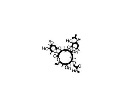 CC[C@H]1OC(=O)[C@H](C)[C@@H](O[C@H]2C[C@@](C)(OC)[C@@H](O)[C@H](C)O2)[C@H](C)[C@@H](O[C@@H]2O[C@H](C)C[C@H](N(C)C(C)C)[C@H]2O)[C@](C)(O)C[C@@H](C)[C@H](OCC(=O)NC)[C@H](C)[C@@H](O)[C@H]1C